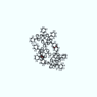 N=C(OC1O[C@H](CO[C@@H]2O[C@H](CO[C@@H]3O[C@H](COC(=O)c4ccccc4)[C@@H](OC(=O)c4ccccc4)[C@H](OC(=O)c4ccccc4)[C@H]3OC(=O)c3ccccc3)[C@@H](OC(=O)c3ccccc3)[C@H](OC(=O)c3ccccc3)[C@H]2OC(=O)c2ccccc2)[C@@H](OC(=O)c2ccccc2)[C@H](OC(=O)c2ccccc2)[C@H]1OC(=O)c1ccccc1)C(Cl)(Cl)Cl